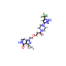 Cc1nn(CCOCCC(=O)N2CCN(c3cc(C(F)(F)F)[nH]n3)CC2)c2cn[nH]c(=O)c12